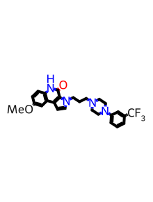 COc1ccc2[nH]c(=O)c3c(ccn3CCCN3CCN(c4cccc(C(F)(F)F)c4)CC3)c2c1